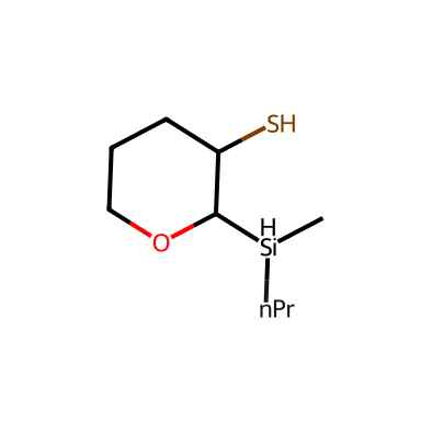 CCC[SiH](C)C1OCCCC1S